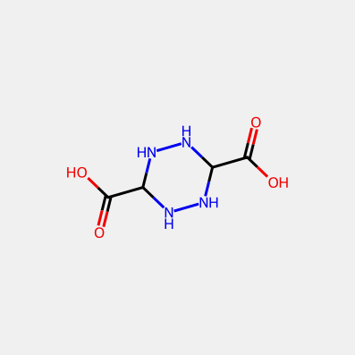 O=C(O)C1NNC(C(=O)O)NN1